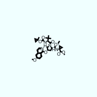 CC[C@@H]1C[C@]1(NC(=O)[C@@H]1C[C@@H](Oc2nccc3cc(OC)ccc23)CN1C(=O)[C@@H](NC(=O)OC1(C)CC1)C(C)(C)C)C(=O)OC